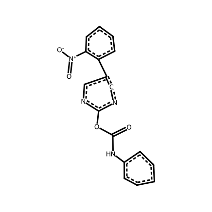 O=C(Nc1ccccc1)Oc1ncc(-c2ccccc2[N+](=O)[O-])cn1